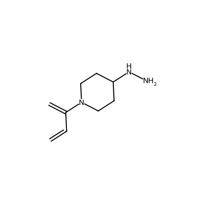 C=CC(=C)N1CCC(NN)CC1